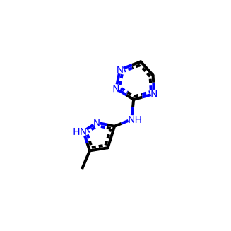 Cc1cc(Nc2nccnn2)n[nH]1